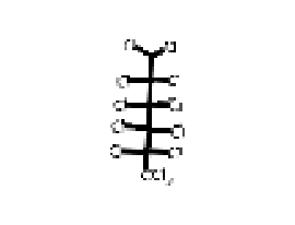 Cl[C](Cl)C(Cl)(Cl)C(Cl)(Cl)C(Cl)(Cl)C(Cl)(Cl)C(Cl)(Cl)Cl